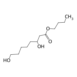 CCCCOC(=O)CC(O)CCCCCO